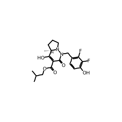 CC(C)COC(=O)C1=C(O)[C@@]2(C)CCCN2N(Cc2ccc(O)c(F)c2F)C1=O